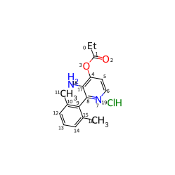 CCC(=O)Oc1ccnc(-c2c(C)cccc2C)c1N.Cl